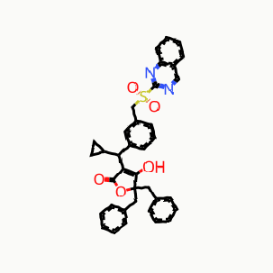 O=C1OC(Cc2ccccc2)(Cc2ccccc2)C(O)=C1C(c1cccc(CS(=O)(=O)c2ncc3ccccc3n2)c1)C1CC1